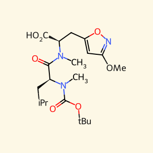 COc1cc(C[C@H](C(=O)O)N(C)C(=O)[C@H](CC(C)C)N(C)C(=O)OC(C)(C)C)on1